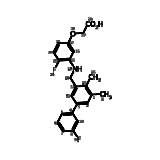 Cc1cc(-c2cccc(F)c2)cc(CNc2cc(OCC(=O)O)ccc2F)c1C